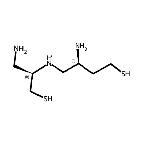 NC[C@H](CS)NC[C@@H](N)CCS